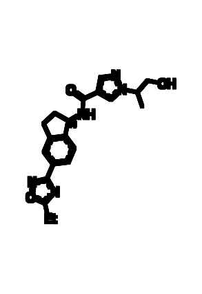 CCc1nc(-c2ccc3c(c2)CC[C@H]3NC(=O)c2cnn(C(C)CO)c2)no1